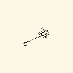 Cc1c(C)n(O)c(C)c(CCCCCCCCCCC2C=CCCC2)c1=O